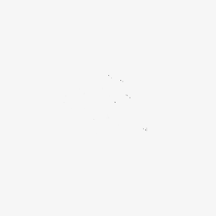 NCc1cccc(-c2ccccc2)c1-n1cnnn1